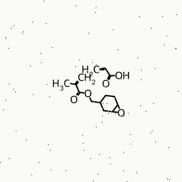 C=C(C)C(=O)OCC1CCC2OC2C1.C=CC(=O)O